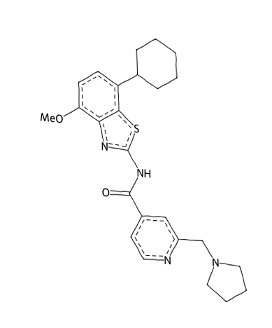 COc1ccc(C2CCCCC2)c2sc(NC(=O)c3ccnc(CN4CCCC4)c3)nc12